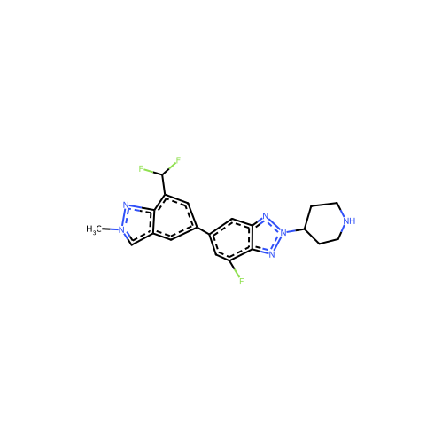 Cn1cc2cc(-c3cc(F)c4nn(C5CCNCC5)nc4c3)cc(C(F)F)c2n1